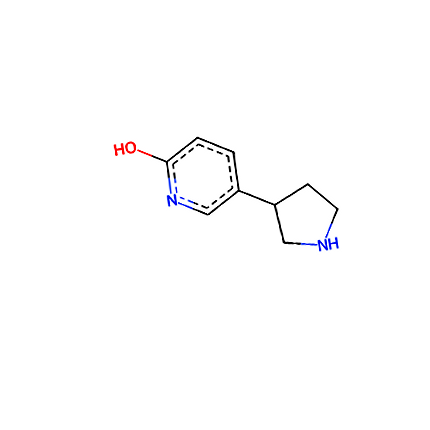 Oc1ccc(C2CCNC2)cn1